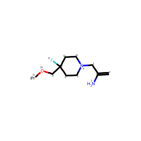 C=C(N)CN1CCC(F)(COC(C)C)CC1